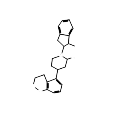 OC1c2ccccc2CC1N1CCC(c2cccc3c2CCOO3)CC1Br